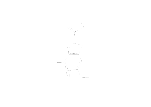 C=CC(=O)c1cc2c(F)c(O)c(OC)cc2s1